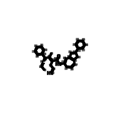 CC=C=C(/C(C)=C(\CC=N)C(=O)NC1=CC2=C(C=C=C1)CC(c1ccccc1)=C2)c1ccccc1